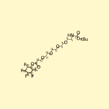 CC(C)(C)OC(=O)NCCOCCOCCOCCOCCC(=O)Oc1c(F)c(F)c(F)c(F)c1F